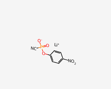 N#CP(=O)([O-])Oc1ccc([N+](=O)[O-])cc1.[Li+]